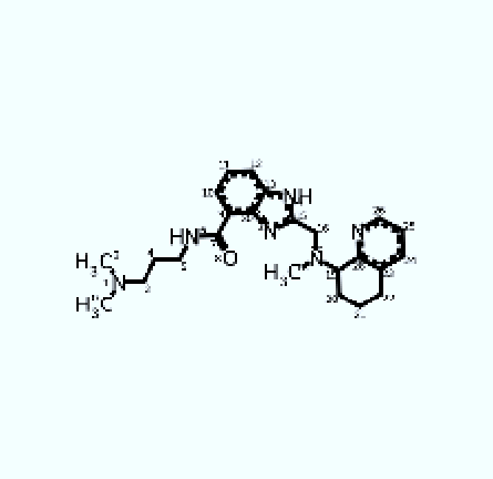 CN(C)CCCNC(=O)c1cccc2[nH]c(CN(C)C3CCCc4cccnc43)nc12